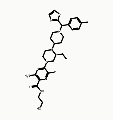 CC[C@H]1CN(c2nc(N)c(C(=O)NCCO)nc2Cl)CCN1C1CCN(C(c2ccc(C)cc2)c2nccs2)CC1